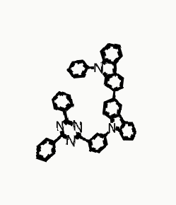 c1ccc(-c2nc(-c3ccccc3)nc(-c3cccc(-n4c5ccccc5c5cc(-c6ccc7c8ccccc8n(-c8ccccc8)c7c6)ccc54)c3)n2)cc1